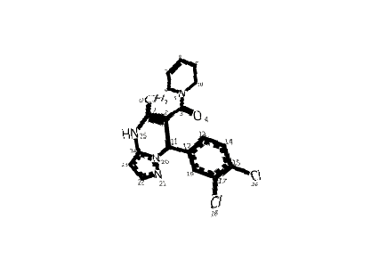 CC1=C(C(=O)N2CC=CCC2)C(c2ccc(Cl)c(Cl)c2)n2nccc2N1